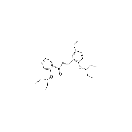 CCc1ccc(OC(CC)CC)c(C=CC(=O)c2ccccc2OC(CC)CC)c1